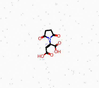 O=C(O)/C=C(\C(=O)O)N1C(=O)CCC1=O